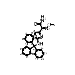 CON=C(C(N)=O)c1csc(NC(c2ccccc2)(c2ccccc2)c2ccccc2)n1